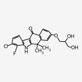 CC1(C)c2cc(OCC(O)CO)ccc2C(=O)c2c1[nH]c1c(F)c(Cl)ccc21